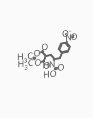 CC1(C)OC(=O)C(CC(Cc2ccc([N+](=O)[O-])cc2)NC(=O)O)C(=O)O1